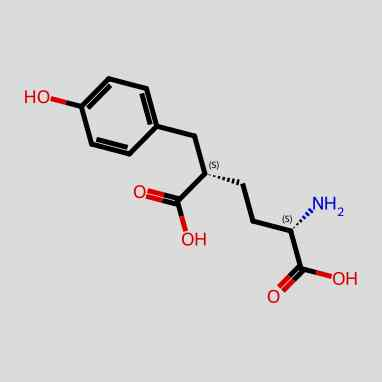 N[C@@H](CC[C@@H](Cc1ccc(O)cc1)C(=O)O)C(=O)O